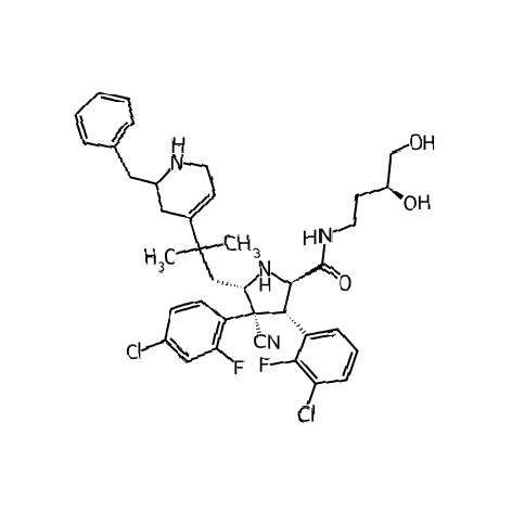 CC(C)(C[C@@H]1N[C@@H](C(=O)NCC[C@H](O)CO)[C@H](c2cccc(Cl)c2F)[C@@]1(C#N)c1ccc(Cl)cc1F)C1=CCNC(Cc2ccccc2)C1